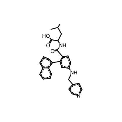 CC(C)CC(NC(=O)c1ccc(NCc2ccncc2)cc1-c1cccc2ccccc12)C(=O)O